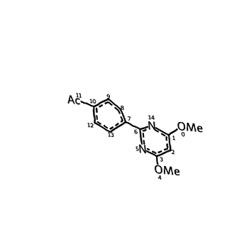 COc1cc(OC)nc(-c2ccc(C(C)=O)cc2)n1